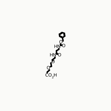 O=C(O)CCOCCOCCNC(=O)CCNC(=O)OCc1ccccc1